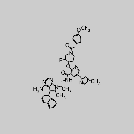 Cc1c(-c2cccc3ccccc23)c2c(N)ncnc2n1C(C)CNC(=O)c1cc(-c2cn(C)cn2)cnc1OC1CCN(C(=O)Cc2ccc(OC(F)(F)F)cc2)CC1F